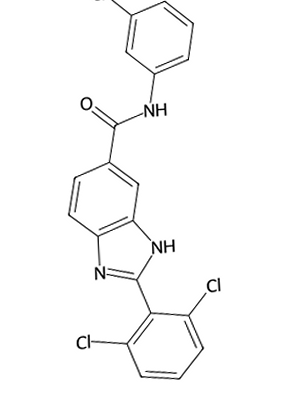 O=C(Nc1cccc(Cl)c1)c1ccc2nc(-c3c(Cl)cccc3Cl)[nH]c2c1